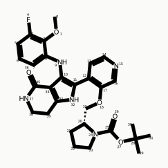 COc1c(F)cccc1Nc1c(-c2ccncc2OC[C@H]2CCCN2C(=O)OC(C)(C)C)[nH]c2c1C(=O)NCC2